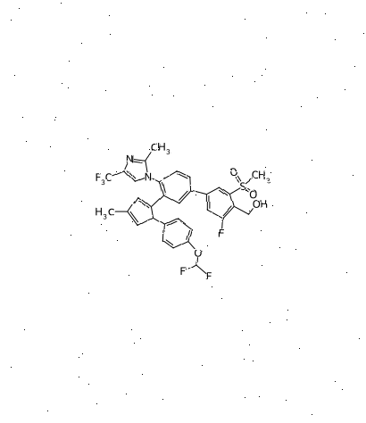 CC1=CC(c2ccc(OC(F)F)cc2)C(c2cc(-c3cc(F)c(CO)c(S(C)(=O)=O)c3)ccc2-n2cc(C(F)(F)F)nc2C)=C1